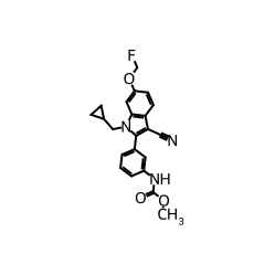 COC(=O)Nc1cccc(-c2c(C#N)c3ccc(OCF)cc3n2CC2CC2)c1